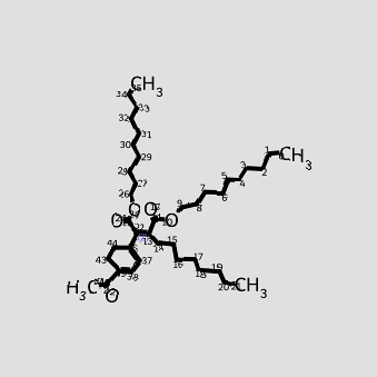 CCCCCCCCCCOC(=O)/C(CCCCCCCC)=C(\C(=O)OCCCCCCCCCC)C1=CC=C(C(C)=O)CC1